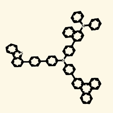 c1ccc(N(c2ccccc2)c2ccc(-c3ccc(N(c4ccc(-c5ccc(-c6cccc7c6sc6ccccc67)cc5)cc4)c4ccc(-c5ccc6c7ccccc7c7ccccc7c6c5)cc4)cc3)c3ccccc23)cc1